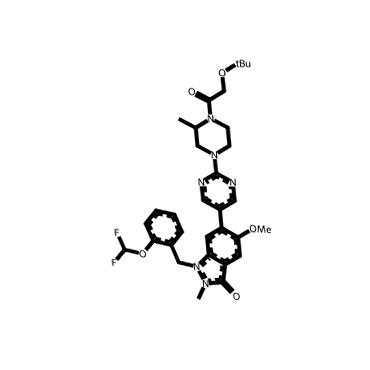 COc1cc2c(=O)n(C)n(Cc3ccccc3OC(F)F)c2cc1-c1cnc(N2CCN(C(=O)COC(C)(C)C)C(C)C2)nc1